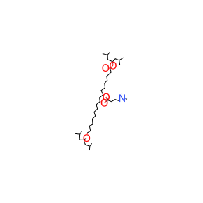 CC(C)CC(CC(C)C)OCCCCCCCCCC(CCCCCCCCC(=O)OC(CC(C)C)CC(C)C)OC(=O)CCCN(C)C